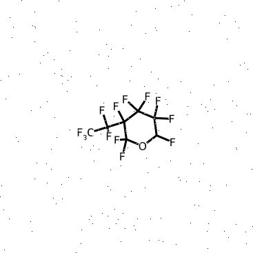 FC1OC(F)(F)C(F)(C(F)(F)C(F)(F)F)C(F)(F)C1(F)F